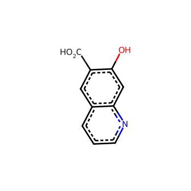 O=C(O)c1cc2cccnc2cc1O